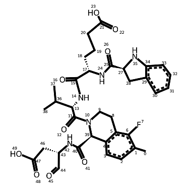 Cc1ccc2c(c1F)CCN(C(=O)[C@@H](NC(=O)[C@H](CCCC(=O)O)NC(=O)[C@@H]1Cc3ccccc3N1)C(C)C)[C@@H]2C(=O)N[C@H](C=O)CC(=O)O